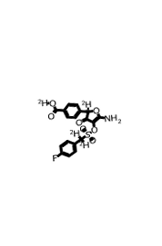 [2H]OC(=O)c1ccc([C@]2([2H])OC(N)=C(OS(=O)(=O)C([2H])([2H])c3ccc(F)cc3)C2=O)cc1